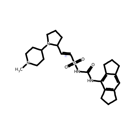 CN1CCC(N2CCCC2/C=C/S(=O)(=O)NC(=O)Nc2c3c(cc4c2CCC4)CCC3)CC1